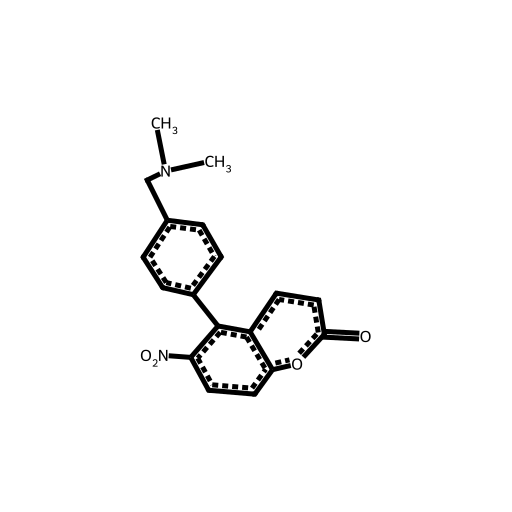 CN(C)Cc1ccc(-c2c([N+](=O)[O-])ccc3oc(=O)ccc23)cc1